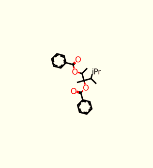 CC(C)C(C)C(C)(OC(=O)c1ccccc1)C(C)OC(=O)c1ccccc1